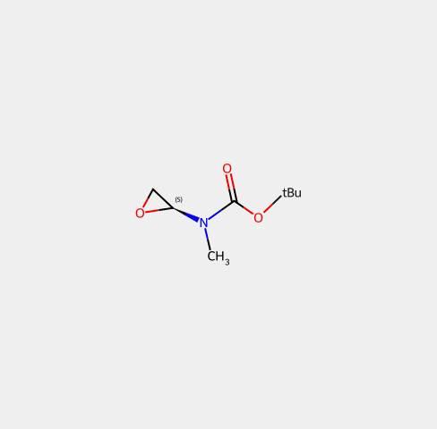 CN(C(=O)OC(C)(C)C)[C@@H]1CO1